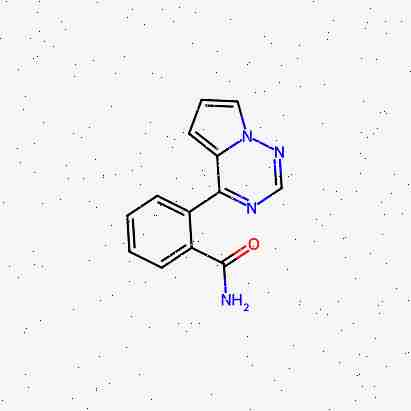 NC(=O)c1ccccc1-c1ncnn2cccc12